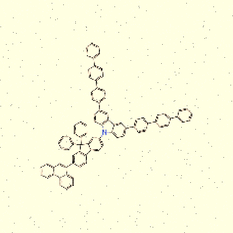 c1ccc(-c2ccc(-c3ccc(-c4ccc5c(c4)c4cc(-c6ccc(-c7ccc(-c8ccccc8)cc7)cc6)ccc4n5-c4ccc5c(c4)C(c4ccccc4)(c4ccccc4)c4cc(-c6cc7ccccc7c7ccccc67)ccc4-5)cc3)cc2)cc1